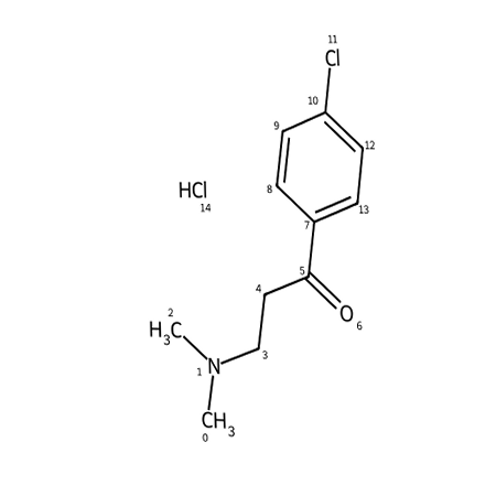 CN(C)CCC(=O)c1ccc(Cl)cc1.Cl